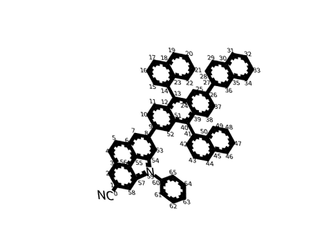 N#Cc1cc2ccc3cc(-c4ccc5c(-c6cccc7ccccc67)c6cc(-c7ccc8ccccc8c7)ccc6c(-c6cccc7ccccc67)c5c4)cc4c3c2c(c1)n4-c1ccccc1